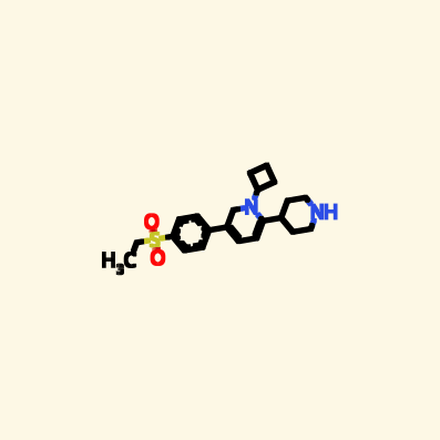 CCS(=O)(=O)c1ccc(C2=CC=C(C3CCNCC3)N(C3CCC3)C2)cc1